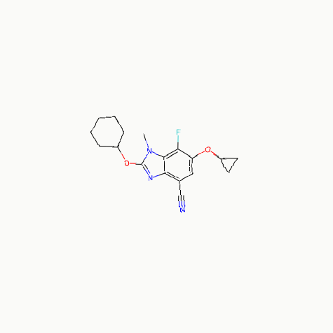 Cn1c(OC2CCCCC2)nc2c(C#N)cc(OC3CC3)c(F)c21